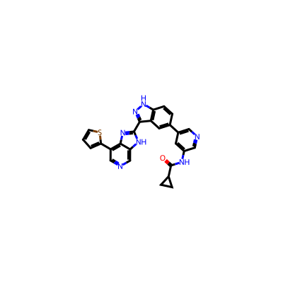 O=C(Nc1cncc(-c2ccc3[nH]nc(-c4nc5c(-c6cccs6)cncc5[nH]4)c3c2)c1)C1CC1